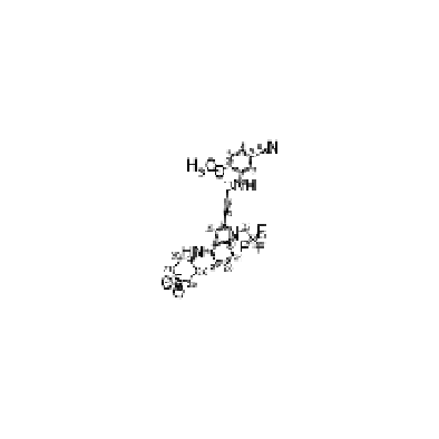 COc1ccc(C#N)cc1NCC#Cc1cc2c(NC3CCS(=O)(=O)CC3)cccc2n1CC(F)(F)F